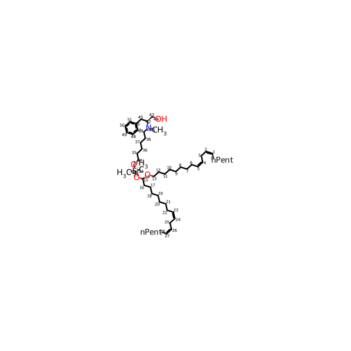 CCCCC/C=C\C/C=C\CCCCCCCCOC(CCCCCCC/C=C\C/C=C\CCCCC)O[Si](C)(C)OCCCCCCN(C)[C@H](CO)Cc1ccccc1